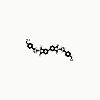 O=C1c2ccc(-c3ccc4c(c3)C(=O)N(c3nnc(-c5ccc(CO)cc5)o3)C4=O)cc2C(=O)N1c1nnc(-c2ccc(CO)cc2)o1